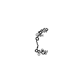 O=C1CCC(N2Cc3c(C#CCCCCc4ccc(C(=O)Nc5cc6[nH]c(CN7CCCC7)cc6cn5)cc4)cccc3C2=O)C(=O)N1